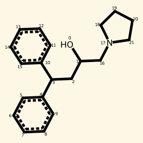 OC(CC(c1ccccc1)c1ccccc1)CN1CCCC1